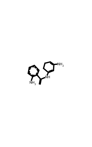 C=C(NC1=CC(N)=CCC1)c1ccccc1N